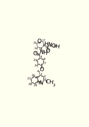 Cc1cc(COc2ccc(C(=O)N[C@@H]3CCOC[C@@H]3C(=O)NO)cc2)c2ccccc2n1